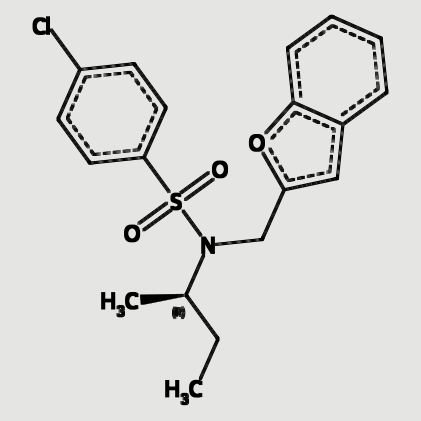 CC[C@@H](C)N(Cc1cc2ccccc2o1)S(=O)(=O)c1ccc(Cl)cc1